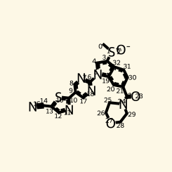 C[S+]([O-])c1cn(-c2ncc(-c3ncc(C#N)s3)cn2)c2cc(C(=O)N3CCOCC3)ccc12